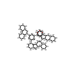 c1ccc(-c2nc(-c3cc4ccccc4c4ccccc34)nc(-c3cccc4oc5c6ccccc6c(-n6c7ccccc7c7cc8ccccc8cc76)cc5c34)n2)cc1